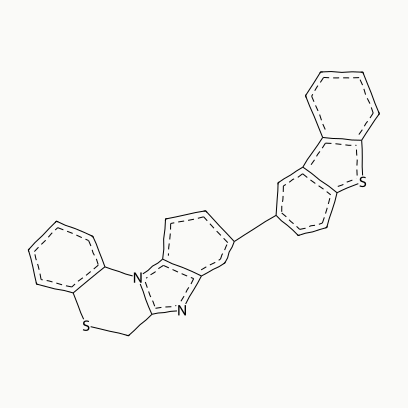 c1ccc2c(c1)SCc1nc3cc(-c4ccc5sc6ccccc6c5c4)ccc3n1-2